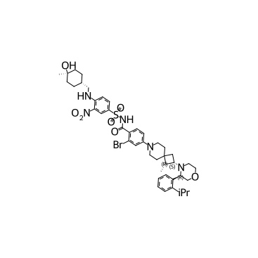 CC(C)c1ccccc1[C@@H]1COCCN1[C@H]1CC2(CCN(c3ccc(C(=O)NS(=O)(=O)c4ccc(NC[C@H]5CC[C@](C)(O)CC5)c([N+](=O)[O-])c4)c(Br)c3)CC2)[C@H]1C